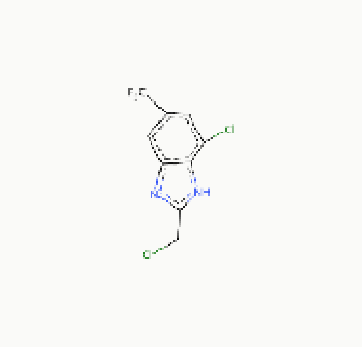 FC(F)(F)c1cc(Cl)c2[nH]c(CCl)nc2c1